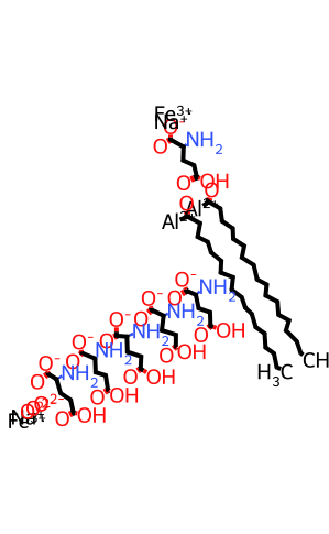 CCCCCCCCCCCCCCCCC[C](=O)[Al+2].CCCCCCCCCCCCCCCCC[C](=O)[Al+2].N[C@@H](CCC(=O)O)C(=O)[O-].N[C@@H](CCC(=O)O)C(=O)[O-].N[C@@H](CCC(=O)O)C(=O)[O-].N[C@@H](CCC(=O)O)C(=O)[O-].N[C@@H](CCC(=O)O)C(=O)[O-].N[C@@H](CCC(=O)O)C(=O)[O-].[Fe+3].[Fe+3].[Na+].[Na+].[O-2].[O-2].[O-2]